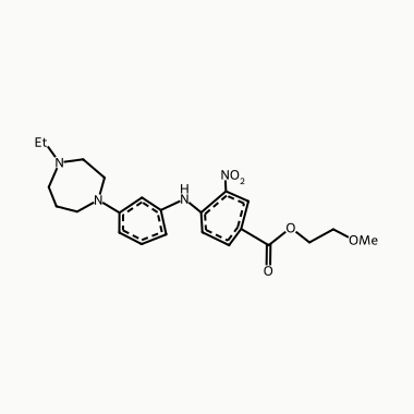 CCN1CCCN(c2cccc(Nc3ccc(C(=O)OCCOC)cc3[N+](=O)[O-])c2)CC1